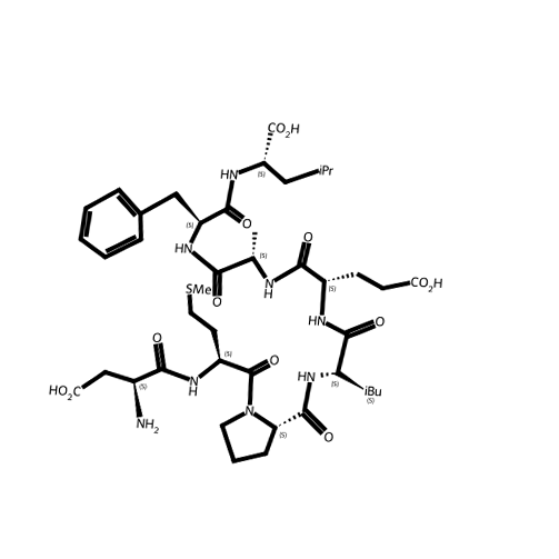 CC[C@H](C)[C@H](NC(=O)[C@@H]1CCCN1C(=O)[C@H](CCSC)NC(=O)[C@@H](N)CC(=O)O)C(=O)N[C@@H](CCC(=O)O)C(=O)N[C@@H](C)C(=O)N[C@@H](Cc1ccccc1)C(=O)N[C@@H](CC(C)C)C(=O)O